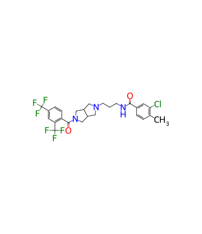 Cc1ccc(C(=O)NCCCN2CC3CN(C(=O)c4ccc(C(F)(F)F)cc4C(F)(F)F)CC3C2)cc1Cl